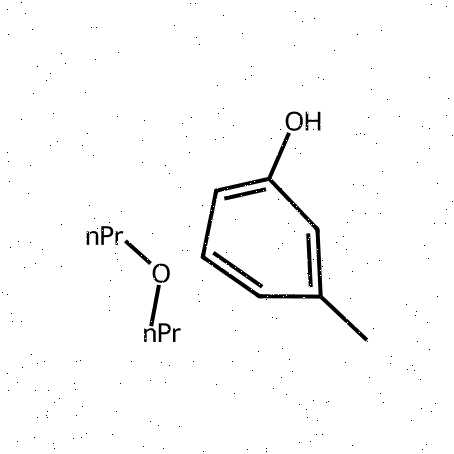 CCCOCCC.Cc1cccc(O)c1